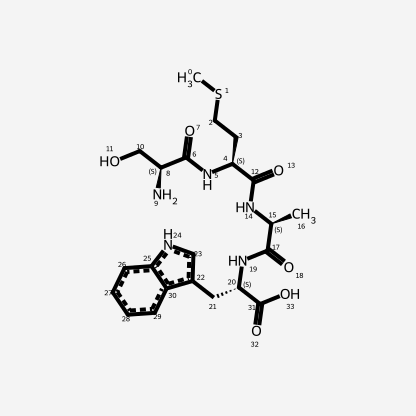 CSCC[C@H](NC(=O)[C@@H](N)CO)C(=O)N[C@@H](C)C(=O)N[C@@H](Cc1c[nH]c2ccccc12)C(=O)O